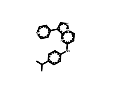 CC(C)c1ccc(Nc2ccn3ncc(-c4ccncc4)c3n2)cc1